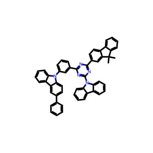 CC1(C)c2ccccc2-c2ccc(-c3nc(-c4cccc(-n5c6ccccc6c6cc(-c7ccccc7)ccc65)c4)nc(-n4c5ccccc5c5ccccc54)n3)cc21